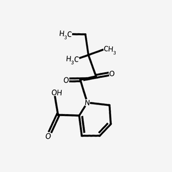 CCC(C)(C)C(=O)C(=O)N1CC=CC=C1C(=O)O